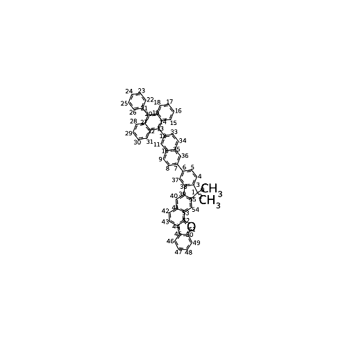 CC1(C)c2ccc(-c3ccc4cc(-c5c6ccccc6c(-c6ccccc6)c6ccccc56)ccc4c3)cc2-c2cc3ccc4c5ccccc5oc4c3cc21